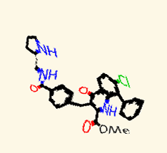 COC(=O)c1[nH]c2c(-c3ccccc3)c(Cl)ccc2c(=O)c1Cc1ccc(C(=O)NC[C@@H]2CCCN2)cc1